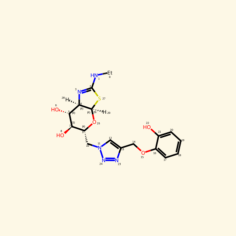 CCNC1=N[C@@H]2[C@@H](O)[C@H](O)[C@@H](Cn3cc(COc4ccccc4O)nn3)O[C@@H]2S1